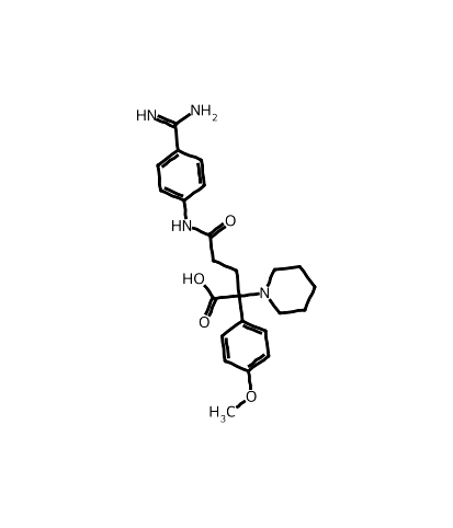 COc1ccc(C(CCC(=O)Nc2ccc(C(=N)N)cc2)(C(=O)O)N2CCCCC2)cc1